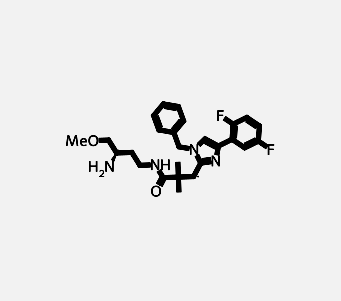 COC[C@H](N)CCNC(=O)C(C)(C)[CH]c1nc(-c2cc(F)ccc2F)cn1Cc1ccccc1